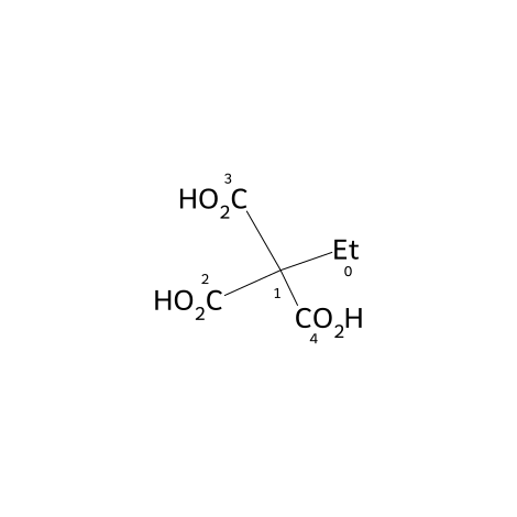 [CH2]CC(C(=O)O)(C(=O)O)C(=O)O